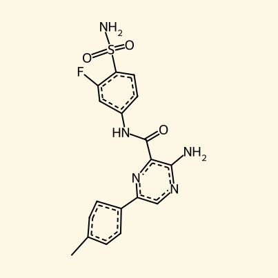 Cc1ccc(-c2cnc(N)c(C(=O)Nc3ccc(S(N)(=O)=O)c(F)c3)n2)cc1